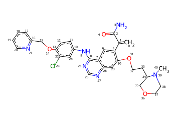 C=C(C(N)=O)c1cc2c(Nc3ccc(OCc4ccccn4)c(Cl)c3)ncnc2cc1OCCC1COCCN1C